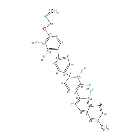 C=CCOc1ccc(-c2ccc(-c3ccc(-c4ccc5cc(C)ccc5c4F)c(F)c3F)cc2)c(F)c1F